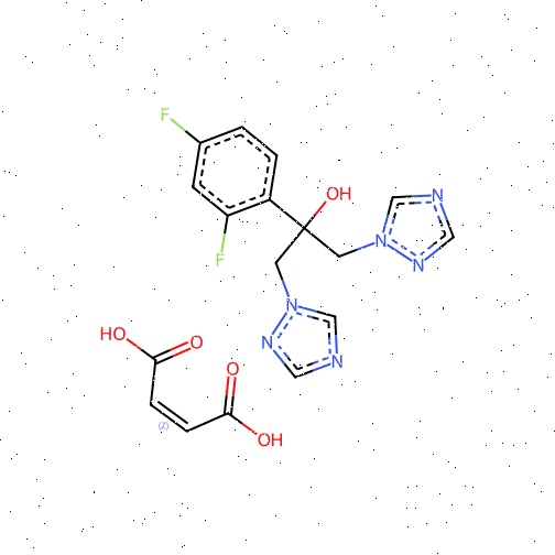 O=C(O)/C=C\C(=O)O.OC(Cn1cncn1)(Cn1cncn1)c1ccc(F)cc1F